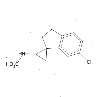 O=C(O)NC1CC12CCc1ccc(Cl)cc12